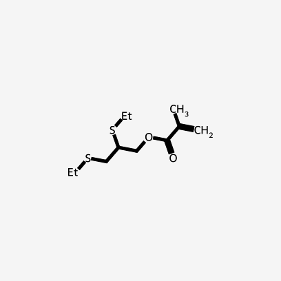 C=C(C)C(=O)OCC(CSCC)SCC